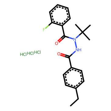 CCc1ccc(C(=O)NN(C(=O)c2ccccc2F)C(C)(C)C)cc1.Cl.Cl.Cl